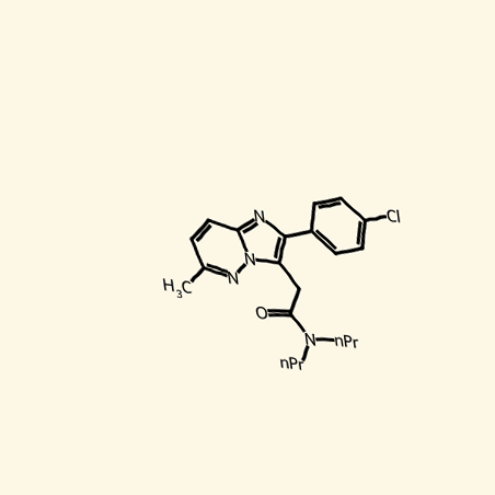 CCCN(CCC)C(=O)Cc1c(-c2ccc(Cl)cc2)nc2ccc(C)nn12